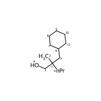 CCCC(C)(CO)CC1CCCCC1